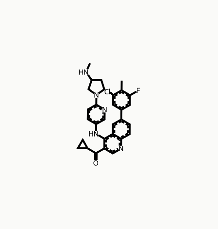 CNC1CCN(c2ccc(Nc3c(C(=O)C4CC4)cnc4ccc(-c5cc(F)c(C)c(Cl)c5)cc34)cn2)C1